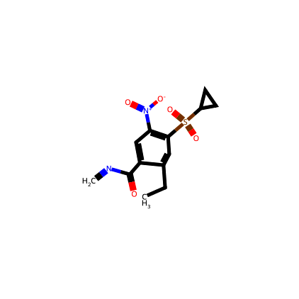 C=NC(=O)c1cc([N+](=O)[O-])c(S(=O)(=O)C2CC2)cc1CC